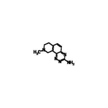 CN1CCc2ccc3nc(N)nnc3c2C1